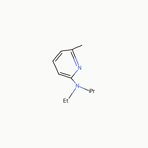 CCN(c1cccc(C)n1)C(C)C